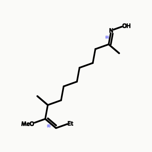 CC/C=C(/OC)C(C)CCCCCC/C(C)=N/O